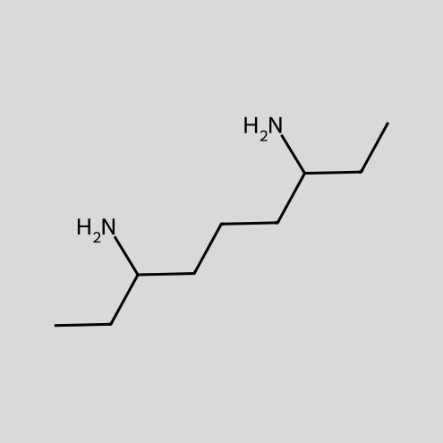 CCC(N)CCCC(N)CC